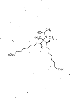 CCCCCCCCCCCCCCCCCC(=O)C(C)(C(=O)CCCCCCCCCCCCCCCCC)N(C)C(C)O